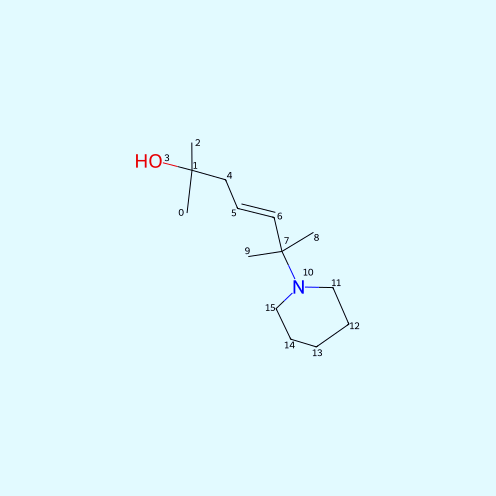 CC(C)(O)CC=CC(C)(C)N1CCCCC1